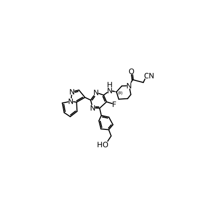 N#CCC(=O)N1CCC[C@@H](Nc2nc(-c3cnn4ccccc34)nc(-c3ccc(CO)cc3)c2F)C1